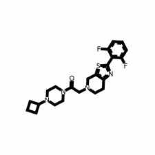 O=C(CN1CCc2nc(-c3c(F)cccc3F)sc2C1)N1CCN(C2CCC2)CC1